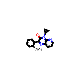 COc1ccccc1-c1nc2cccnc2n(C2CC2)c1=O